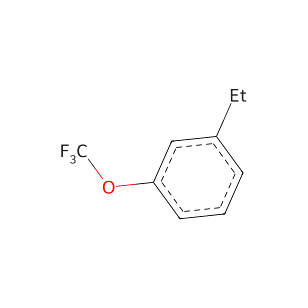 [CH2]Cc1cccc(OC(F)(F)F)c1